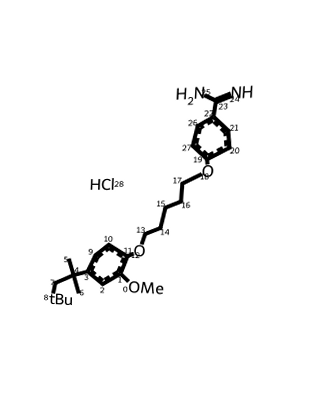 COc1cc(C(C)(C)CC(C)(C)C)ccc1OCCCCCOc1ccc(C(=N)N)cc1.Cl